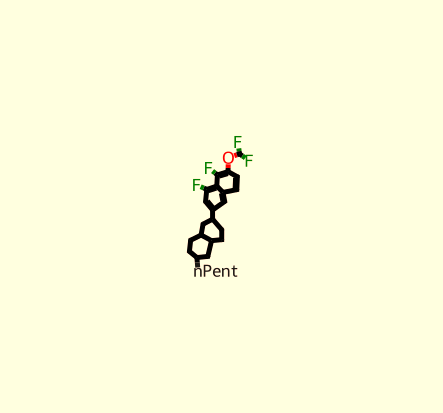 CCCCCC1CCC2CC(c3cc(F)c4c(F)c(OC(F)F)ccc4c3)CCC2C1